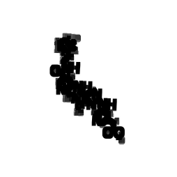 COC(=O)Cc1cncc(Nc2ncc3c(Nc4cc(C(=O)NCCN5CCCC5(C)C)cnc4C)nn(C)c3n2)c1